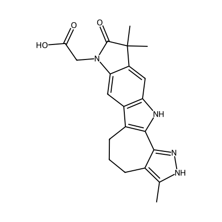 Cc1[nH]nc2c1CCCc1c-2[nH]c2cc3c(cc12)N(CC(=O)O)C(=O)C3(C)C